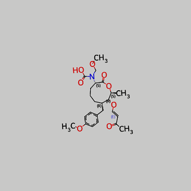 COCN(C(=O)O)[C@H]1CCC[C@H](Cc2ccc(OC)cc2)[C@@H](O/C=C/C(C)=O)[C@H](C)OC1=O